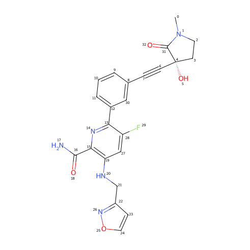 CN1CC[C@@](O)(C#Cc2cccc(-c3nc(C(N)=O)c(NCc4ccon4)cc3F)c2)C1=O